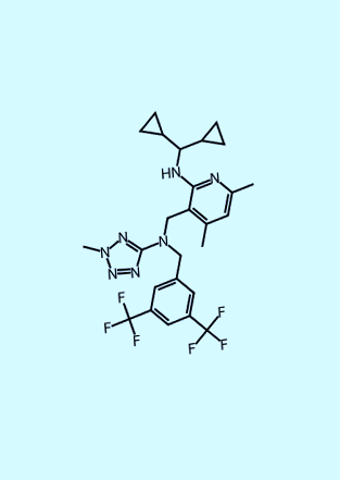 Cc1cc(C)c(CN(Cc2cc(C(F)(F)F)cc(C(F)(F)F)c2)c2nnn(C)n2)c(NC(C2CC2)C2CC2)n1